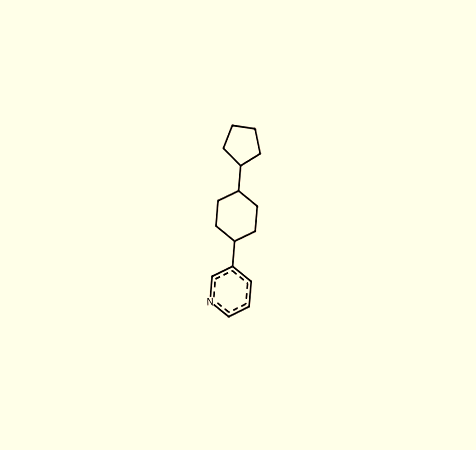 c1cncc(C2CCC(C3CCCC3)CC2)c1